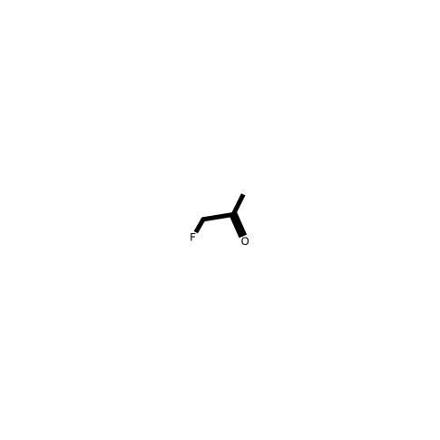 CC(=O)CF